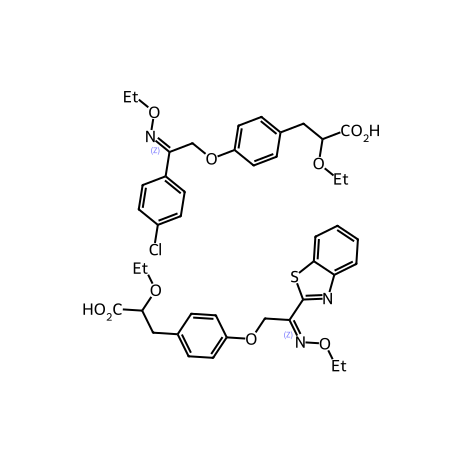 CCO/N=C(/COc1ccc(CC(OCC)C(=O)O)cc1)c1nc2ccccc2s1.CCO/N=C(\COc1ccc(CC(OCC)C(=O)O)cc1)c1ccc(Cl)cc1